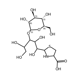 O=C(O)C1CSC(C(O)C(O)C(O[C@@H]2O[C@H](CO)[C@@H](O)[C@H](O)[C@H]2O)C(O)CO)N1